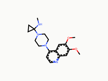 CNC1(N2CCN(c3ccnc4cc(OC)c(OC)cc34)CC2)CC1